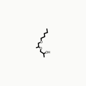 CCCCCOCC(C)OCC(C)O